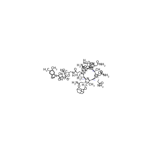 C/C1=C2N=C(/C=C3N=C(/C(C)=C4/[C@@H](CCC(N)=O)[C@](C)(CC(N)=O)[C@](C)([C@@H]5N=C1[C@](C)(CCC(=O)NCC(C)OP(=O)([O-])O[C@H]1[C@@H](O)[C@@H](n6cnc7cc(C)c(C)cc76)O[C@@H]1CO)[C@H]5CC(N)=O)[N]4[Co+][C]#N)[C@@](C)(CC(N)=O)[C@@H]\3CCC(N)=O)C(C)(C)[C@@H]/2CCC(N)=O.O=C1C2CC3CC(C2)CC1C3